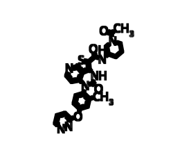 CC(=O)N1CCCC(NC(=O)c2sc3nccc4c3c2NC(=O)N4c2ccc(Oc3cccnn3)cc2C)C1